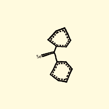 [Se]=C(c1ccccc1)c1ccccc1